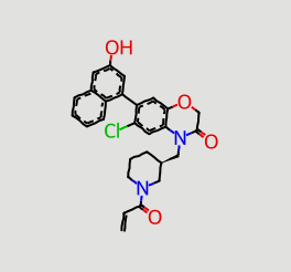 C=CC(=O)N1CCC[C@@H](CN2C(=O)COc3cc(-c4cc(O)cc5ccccc45)c(Cl)cc32)C1